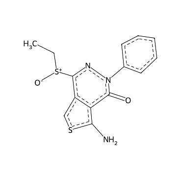 CC[S+]([O-])c1nn(-c2ccccc2)c(=O)c2c(N)scc12